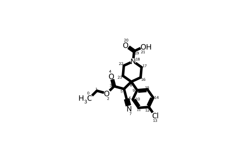 CCOC(=O)C(C#N)C1(c2ccc(Cl)cc2)CCN(C(=O)O)CC1